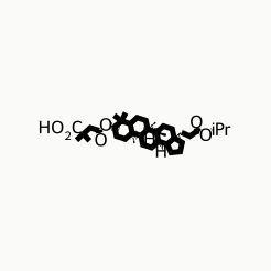 CC(C)OC(=O)CC[C@]12CCC[C@@H]1[C@H]1CCC3[C@@]4(C)CC[C@H](OC(=O)CC(C)(C)C(=O)O)C(C)(C)C4CC[C@@]3(C)[C@]1(C)CC2